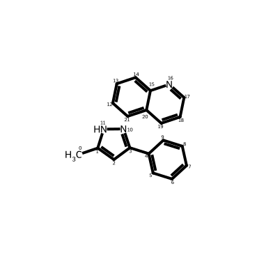 Cc1cc(-c2ccccc2)n[nH]1.c1ccc2ncccc2c1